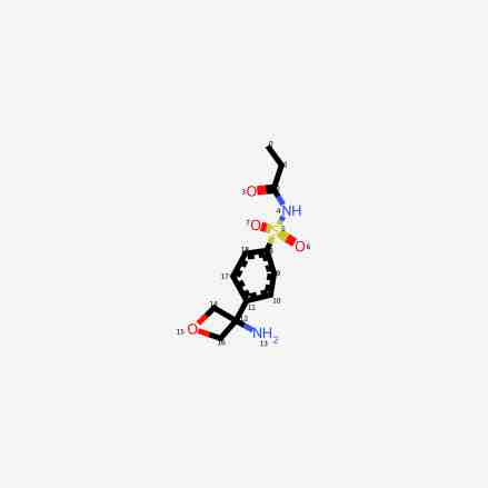 CCC(=O)NS(=O)(=O)c1ccc(C2(N)COC2)cc1